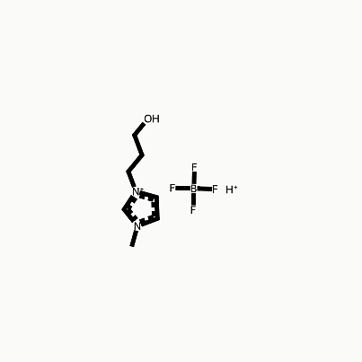 Cn1cc[n+](CCCO)c1.F[B-](F)(F)F.[H+]